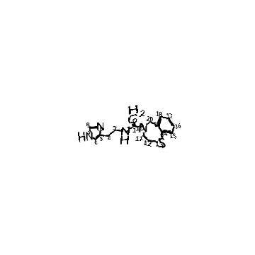 C=C(NCCc1c[nH]cn1)N1CCSc2ccccc2C1